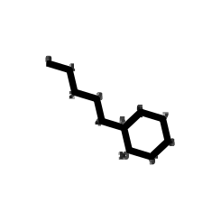 CCCCCC1[CH]CC[CH]C1